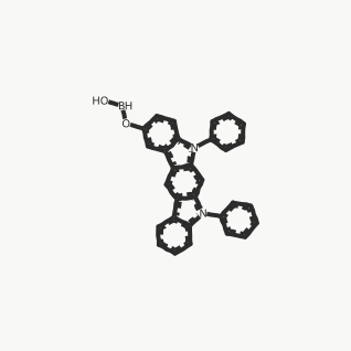 OBOc1ccc2c(c1)c1cc3c4ccccc4n(-c4ccccc4)c3cc1n2-c1ccccc1